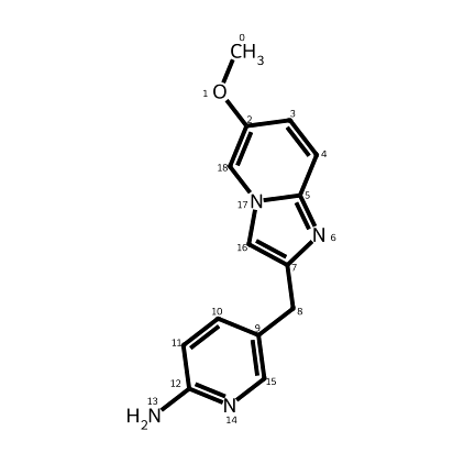 COc1ccc2nc(Cc3ccc(N)nc3)cn2c1